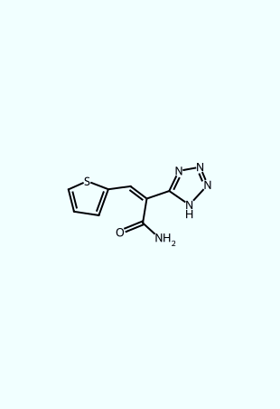 NC(=O)C(=Cc1cccs1)c1nnn[nH]1